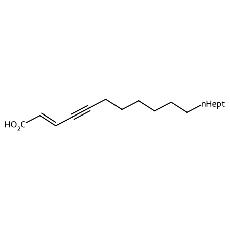 CCCCCCCCCCCCCC#CC=CC(=O)O